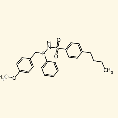 CCCCc1ccc(S(=O)(=O)NP(Cc2ccc(OC)cc2)c2ccccc2)cc1